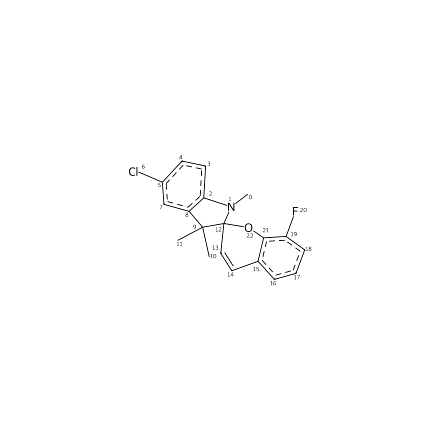 CN1c2ccc(Cl)cc2C(C)(C)C12C=Cc1cccc(F)c1O2